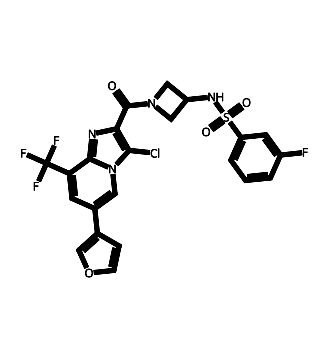 O=C(c1nc2c(C(F)(F)F)cc(-c3ccoc3)cn2c1Cl)N1CC(NS(=O)(=O)c2cccc(F)c2)C1